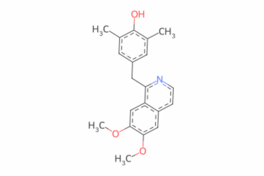 COc1cc2ccnc(Cc3cc(C)c(O)c(C)c3)c2cc1OC